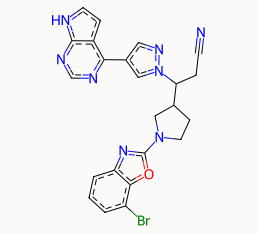 N#CCC(C1CCN(c2nc3cccc(Br)c3o2)C1)n1cc(-c2ncnc3[nH]ccc23)cn1